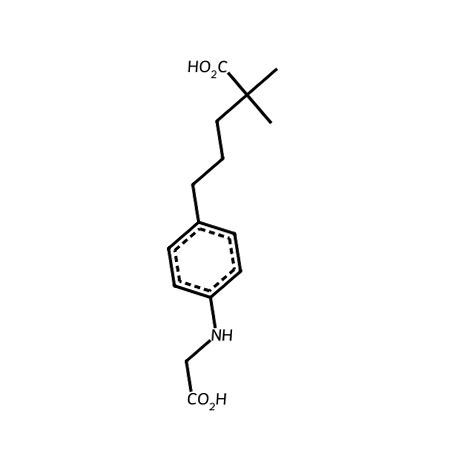 CC(C)(CCCc1ccc(NCC(=O)O)cc1)C(=O)O